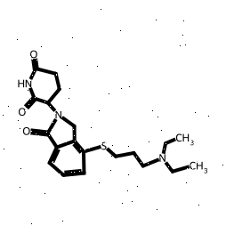 CCN(CC)CCCSc1cccc2c1CN(C1CCC(=O)NC1=O)C2=O